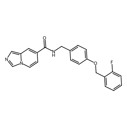 O=C(NCc1ccc(OCc2ccccc2F)cc1)c1ccn2cncc2c1